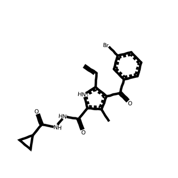 C=Cc1[nH]c(C(=O)NNC(=O)C2CC2)c(C)c1C(=O)c1cccc(Br)c1